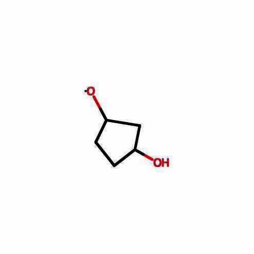 [O]C1CCC(O)C1